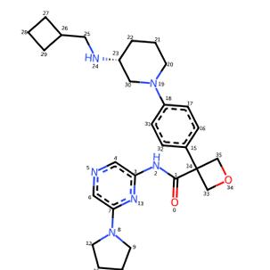 O=C(Nc1cncc(N2CCCC2)n1)C1(c2ccc(N3CCC[C@@H](NCC4CCC4)C3)cc2)COC1